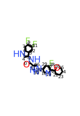 O=C(Nc1c[nH]c2cc(F)c(F)cc12)c1cn(-c2cnc(C3CCCCO3)c(F)c2)nn1